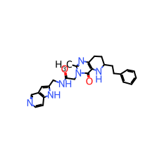 Cc1nc2c(c(=O)n1CC(=O)NCc1cc3cnccc3[nH]1)NC(CCc1ccccc1)CC2